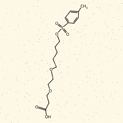 Cc1ccc(S(=O)(=O)OCCCCCOCCOCCC(=O)O)cc1